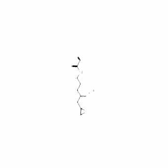 C=CC(=O)NCCCC(CC1CO1)O[SiH3]